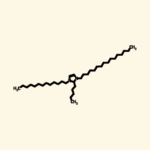 CCCCCCCCCCCCCCCCN1C=CN(CCCCCCCCCCCCC)C1CCCCC